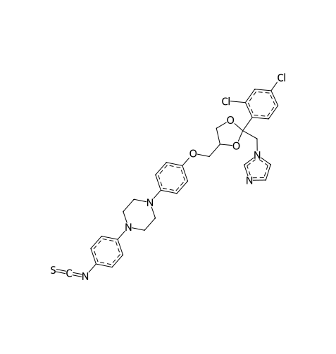 S=C=Nc1ccc(N2CCN(c3ccc(OCC4COC(Cn5ccnc5)(c5ccc(Cl)cc5Cl)O4)cc3)CC2)cc1